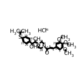 COc1cc(C=CC(=O)N2CCN(C(C)C(O)c3ccc(SC(C)C)cc3)CC2)cc(OC)c1OC.Cl